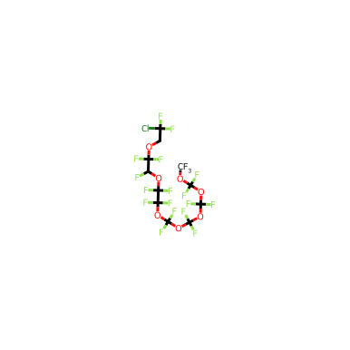 FC(OC(F)(F)C(F)(F)OC(F)(F)OC(F)(F)OC(F)(F)OC(F)(F)OC(F)(F)F)C(F)(F)OCC(F)(F)Cl